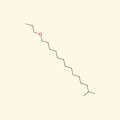 [CH2]CCOCCCCCCCCCCCCC(C)C